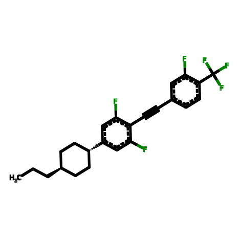 CCC[C@H]1CC[C@H](c2cc(F)c(C#Cc3ccc(C(F)(F)F)c(F)c3)c(F)c2)CC1